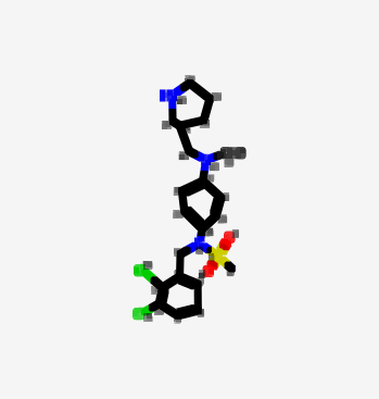 CS(=O)(=O)N(Cc1cccc(Cl)c1Cl)c1ccc(N(C=O)CC2CCCNC2)cc1